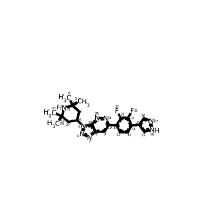 CC1(C)CC(n2nnc3cc(-c4ccc(-c5cn[nH]c5)c(F)c4F)nnc32)CC(C)(C)N1